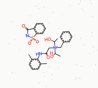 Cc1cccc(C)c1NC(=O)C[N+](Cc1ccccc1)(C(C)O)C(C)O.O=C1[N-]S(=O)(=O)c2ccccc21